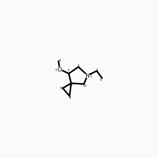 CCN1CC(OC)C2(CC2)C1